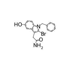 NC(=O)Cc1c(Br)n(Cc2ccccc2)c2ccc(O)cc12